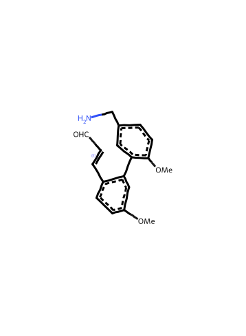 COc1ccc(/C=C/C=O)c(-c2cc(CN)ccc2OC)c1